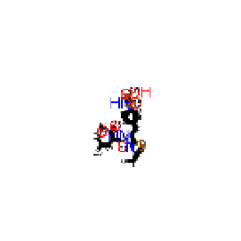 CCc1csc(C(Cc2ccc(NS(=O)(=O)O)cc2)NC(=O)C(CC(C)C)C(=O)OC)n1